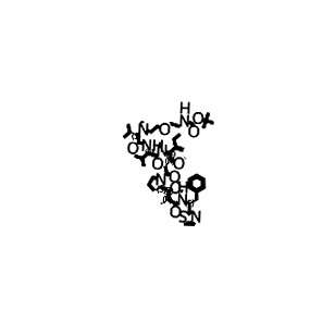 C=C(CC)[C@@H]([C@@H](CC(=O)N1CCC[C@H]1[C@H](OC)[C@@H](C)C(=O)N[C@@H](Cc1ccccc1)c1nccs1)OC)N(C)C(=O)[C@@H](NC(=O)[C@H](C(C)C)N(C)CCOCCNC(=O)OC(C)(C)C)C(C)C